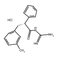 Cc1cccc(C[C@@H](C(=O)NC(=N)N)c2ccccc2)c1.Cl